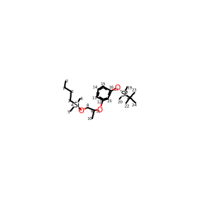 CCCC[Si](C)(C)OCC(C)Oc1cccc(O[Si](C)(C)C(C)(C)C)c1